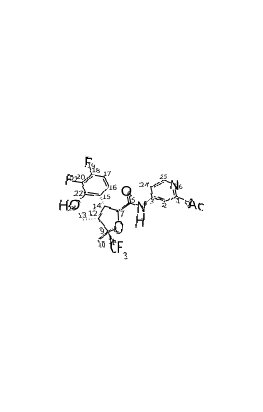 CC(=O)c1cc(NC(=O)[C@H]2O[C@@](C)(C(F)(F)F)[C@H](C)[C@@H]2c2ccc(F)c(F)c2O)ccn1